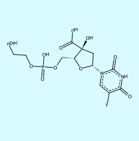 CCCCCCCCCCCCOP(=O)(O)OC[C@H]1O[C@@H](n2cc(F)c(=O)[nH]c2=O)C[C@@]1(O)C(=O)CCC